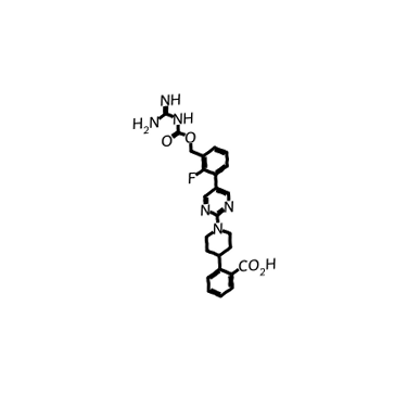 N=C(N)NC(=O)OCc1cccc(-c2cnc(N3CCC(c4ccccc4C(=O)O)CC3)nc2)c1F